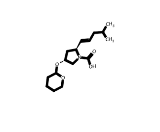 CC(C)CC=C[C@@H]1C[C@@H](OC2CCCCO2)CN1C(=O)O